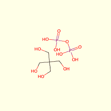 O=P(O)(O)OP(=O)(O)O.OCC(CO)(CO)CO